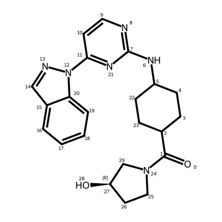 O=C(C1CCC(Nc2nccc(-n3ncc4ccccc43)n2)CC1)N1CC[C@@H](O)C1